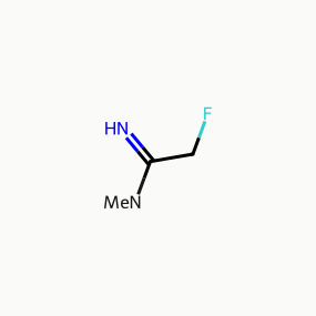 CNC(=N)CF